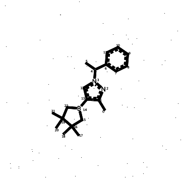 Cc1nn(C(C)c2ccccc2)cc1B1CC(C)(C)C(C)(C)C1